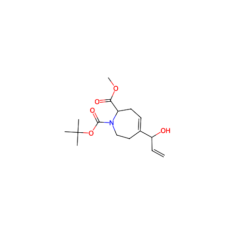 C=CC(O)C1=CCC(C(=O)OC)N(C(=O)OC(C)(C)C)CC1